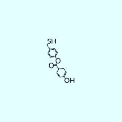 O=C(Oc1ccc(CS)cc1)C1C=CC(O)=CC1